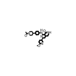 COc1ccc(-c2cc3cc[nH]c(=O)c3c(Nc3ccc(C4CCN(C(C)=O)CC4)cc3)n2)cn1